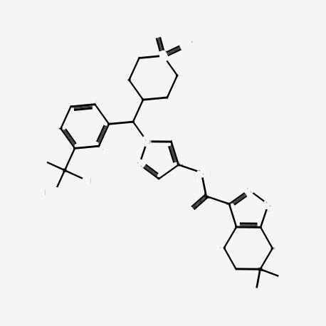 CC1(C)CCc2c(C(=O)Nc3cnn(C(c4cccc(C(C)(C)O)c4)C4CCS(=O)(=O)CC4)c3)n[nH]c2C1